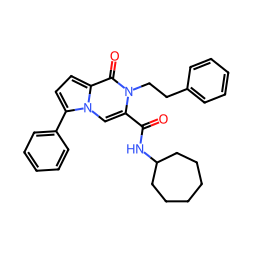 O=C(NC1CCCCCC1)c1cn2c(-c3ccccc3)ccc2c(=O)n1CCc1ccccc1